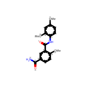 COc1ccc(NC(=O)c2cc(C(N)=O)ccc2OC)c(OC)c1